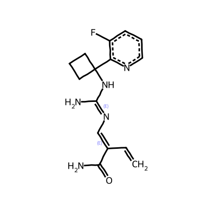 C=C/C(=C\N=C(/N)NC1(c2ncccc2F)CCC1)C(N)=O